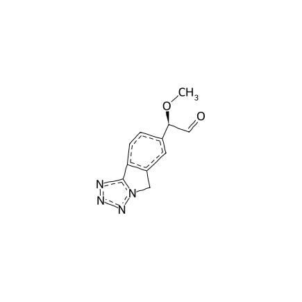 CO[C@@H](C=O)c1ccc2c(c1)Cn1nnnc1-2